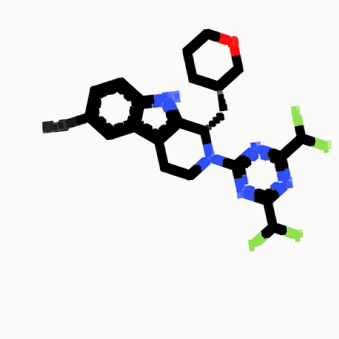 COc1ccc2[nH]c3c(c2c1)CCN(c1nc(C(F)F)nc(C(F)F)n1)[C@H]3C[C@@H]1CCCOC1